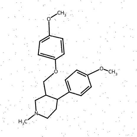 COc1ccc(OCC2CN(C)CCC2c2ccc(OC)cc2)cc1